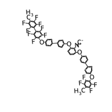 [C-]#[N+]c1c(Oc2ccc(-c3ccc(Oc4c(F)c(F)c(C)c(F)c4F)cc3)cc2)cccc1Oc1ccc(-c2ccc(Oc3c(F)c(F)c(-c4c(F)c(F)c(C)c(F)c4F)c(F)c3F)cc2)cc1